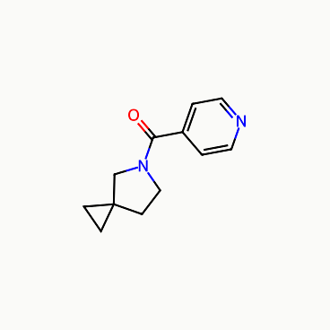 O=C(c1ccncc1)N1CCC2(CC2)C1